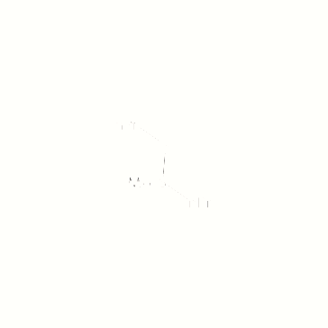 CCCSSCCC.[Mo]